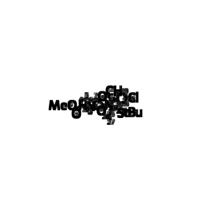 COC(=O)c1ccc(C[C@@]2(C)O[C@H](C)[C@@H](c3ccc(Cl)cc3)N(C(CSC(C)(C)C)C3CC3)C2=O)nc1